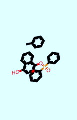 Cc1ccccc1.O=P(Oc1ccc(O)c2ccccc12)(c1ccccc1)c1ccccc1